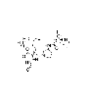 CCOC(=O)c1c(NC=O)nc(N2CCCC(NC(=O)OC(C)(C)C)C2)n1CC=C(C)C